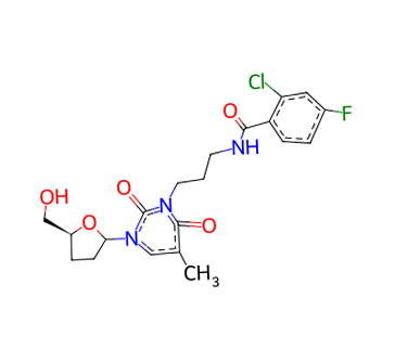 Cc1cn(C2CC[C@@H](CO)O2)c(=O)n(CCCNC(=O)c2ccc(F)cc2Cl)c1=O